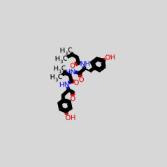 CC(C)CC(=O)N[C@@H](Cc1ccc(O)cc1)C(=O)N[C@H](C(=O)NC(C=O)Cc1ccc(O)cc1)C(C)C